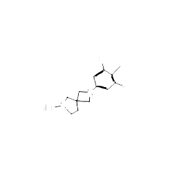 Cc1c(F)cc(N2CC3(CCN(C(C)C)C3)C2)cc1F